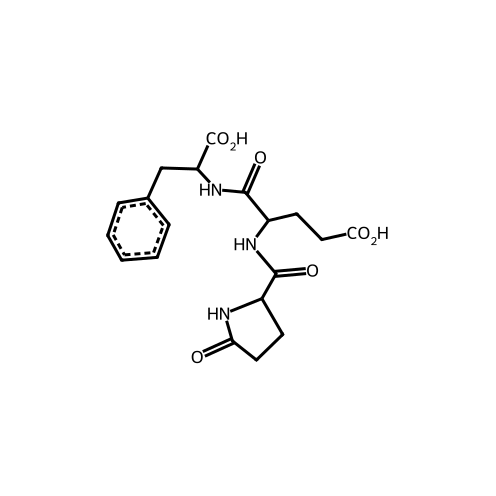 O=C(O)CCC(NC(=O)C1CCC(=O)N1)C(=O)NC(Cc1ccccc1)C(=O)O